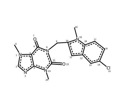 Cn1cnc2c1c(=O)n(Cc1cc3cc(Cl)ccc3n1C)c(=O)n2C